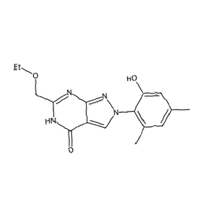 CCOCc1nc2nn(-c3c(C)cc(C)cc3O)cc2c(=O)[nH]1